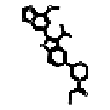 COc1cc(-c2[nH]c3ccc(C4CN(C(=O)CCl)CCO4)cc3c2C(C)C)cn2ncnc12